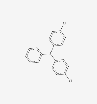 Clc1ccc([S+](c2ccccc2)c2ccc(Cl)cc2)cc1